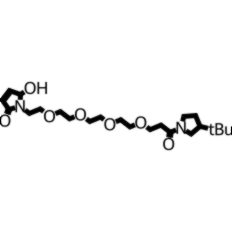 CC(C)(C)C1CCN(C(=O)CCOCCOCCOCCOCCN2C(=O)C=CC2O)C1